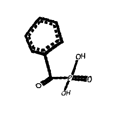 O=C(c1ccccc1)P(=O)(O)O